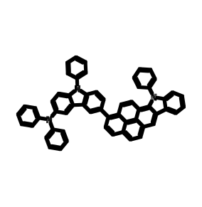 c1ccc(N(c2ccccc2)c2ccc3c(c2)c2cc(-c4ccc5ccc6cc7c8ccccc8n(-c8ccccc8)c7c7ccc4c5c67)ccc2n3-c2ccccc2)cc1